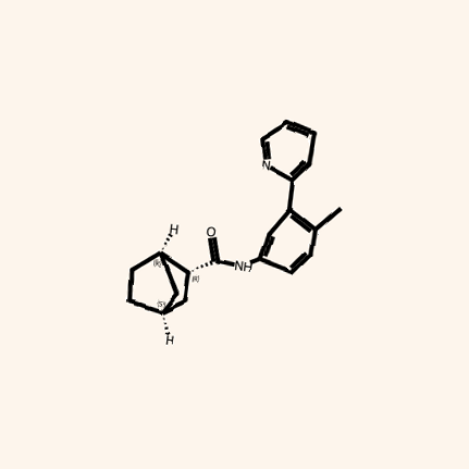 Cc1ccc(NC(=O)[C@@H]2C[C@H]3CC[C@@H]2C3)cc1-c1ccccn1